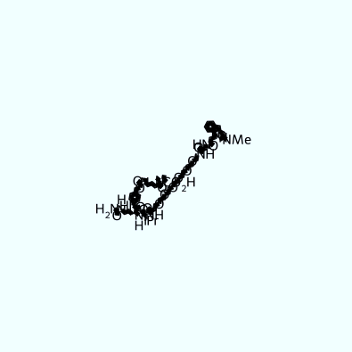 CNN(C)Cc1cc2ccccc2n1CCC(=O)NCC(=O)NCCOCCOCCOCCOCCOCCOCCC(=O)N[C@H](C(=O)N[C@@H](CCCNC(N)=O)C(=O)Nc1ccc(COC(=O)N(C)CCCC(=O)N(C)C(C)C(=O)O)cc1)C(C)C